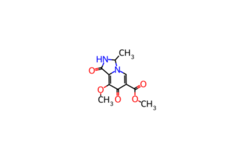 COC(=O)c1cn2c(c(OC)c1=O)C(=O)NC2C